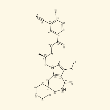 CCc1nn(C[C@@H](C)COC(=O)c2ccc(F)c(C#N)c2)c2c1C(=O)NCC1(CCOCC1)C2